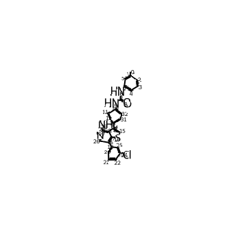 Cc1cccc(NC(=O)Nc2ccc(-c3csc4c(-c5cccc(Cl)c5)cnc(N)c34)cc2)c1